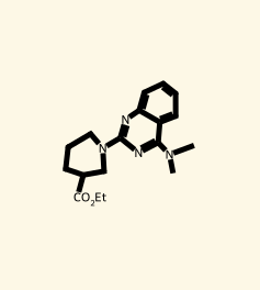 CCOC(=O)C1CCCN(c2nc(N(C)C)c3ccccc3n2)C1